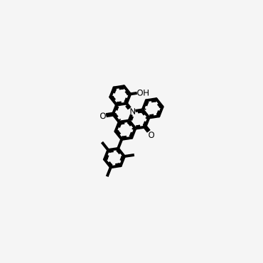 Cc1cc(C)c(-c2cc3c(=O)c4ccccc4n4c5c(O)cccc5c(=O)c(c2)c34)c(C)c1